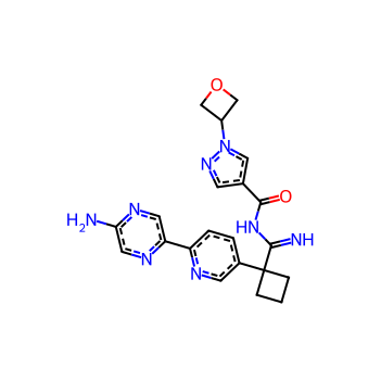 N=C(NC(=O)c1cnn(C2COC2)c1)C1(c2ccc(-c3cnc(N)cn3)nc2)CCC1